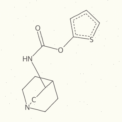 O=C(NC1CN2CCC1CC2)Oc1cccs1